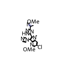 CO/N=C(\C)c1n[nH]c(-c2c(-n3ccnc3)c3nc(OC)c(Cl)cc3n2C)n1